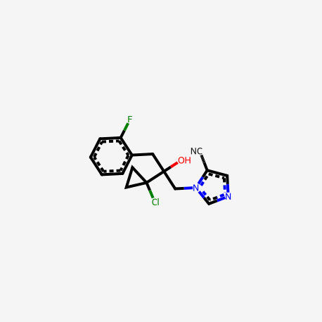 N#Cc1cncn1CC(O)(Cc1ccccc1F)C1(Cl)CC1